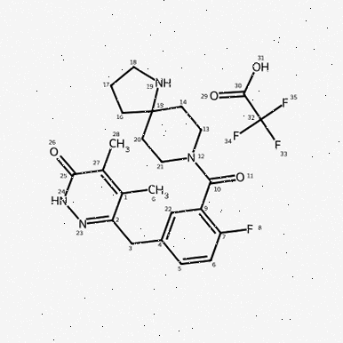 Cc1c(Cc2ccc(F)c(C(=O)N3CCC4(CCCN4)CC3)c2)n[nH]c(=O)c1C.O=C(O)C(F)(F)F